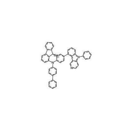 CC12c3ccccc3-c3cccc(c31)N(c1ccc(-c3ccccc3)cc1)c1ccc(-c3cccc4c3c3cnccc3n4-c3ccccc3)cc12